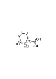 O=C(O)O.O[C@H]1CCCC[C@@H]1Cl